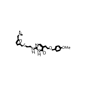 COc1ccc(COCCc2cnc(NCCSCc3ccc(CN(C)C)o3)[nH]c2=O)cc1